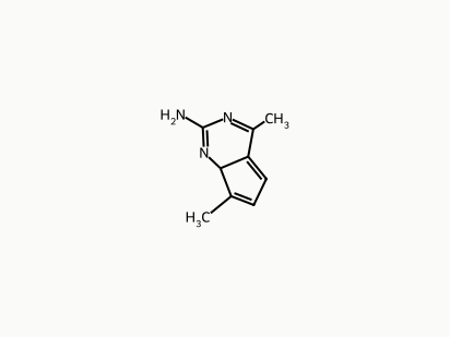 CC1=CC=C2C(C)=NC(N)=NC12